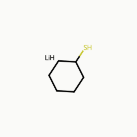 SC1CCCCC1.[LiH]